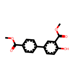 COC(=O)c1ccc(-c2ccc(O)c(C(=O)OC)c2)cc1